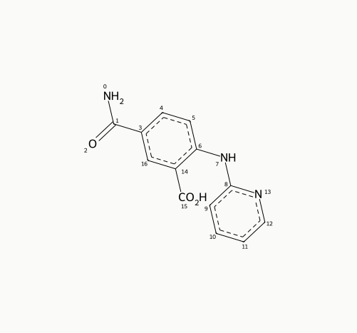 NC(=O)c1ccc(Nc2ccccn2)c(C(=O)O)c1